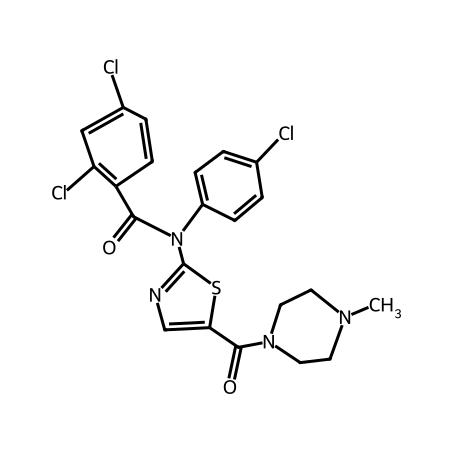 CN1CCN(C(=O)c2cnc(N(C(=O)c3ccc(Cl)cc3Cl)c3ccc(Cl)cc3)s2)CC1